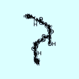 CN1CCN(CCCNCCC(=O)OCCSSCC(C)(C)COC(=O)CCN(CCCCO)CCC(=O)OCCSSCC(C)(C)COC(=O)CCNCCCN2CCN(C)CC2)CC1